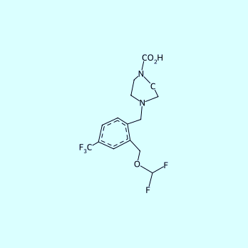 O=C(O)N1CCN(Cc2ccc(C(F)(F)F)cc2COC(F)F)CC1